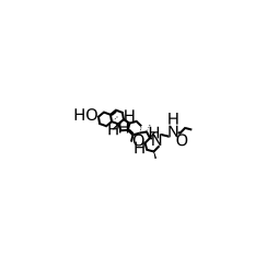 CCC(=O)NCCN1C[C@@H](C)C[C@H]2O[C@]3(CC[C@@H]4C(=C3C)C[C@H]3[C@H]4CC=C4C[C@@H](O)CC[C@@]43C)[C@H](C)[C@@H]21